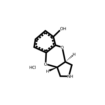 Cl.Oc1cccc2c1O[C@H]1CNC[C@@H]1O2